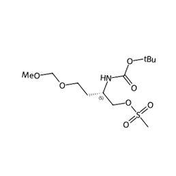 COCOCC[C@@H](COS(C)(=O)=O)NC(=O)OC(C)(C)C